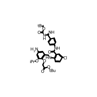 CC(C)Oc1cc(N)cc(CNc2ccc(Cl)cc2C(=O)Nc2ccc(C(=N)NC(=O)OC(C)(C)C)cc2)c1OCC(=O)OC(C)(C)C